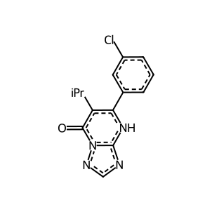 CC(C)c1c(-c2cccc(Cl)c2)[nH]c2ncnn2c1=O